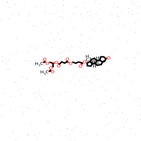 CC(=O)OCC(COC(C)=O)OC(=O)CCC(=O)OCCCC(=O)O[C@H]1CC[C@H]2[C@@H]3CCC4=CC(=O)CC[C@]4(C)[C@H]3CC[C@]12C